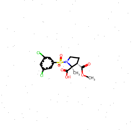 COC(=O)[C@H]1CCN(S(=O)(=O)c2cc(Cl)cc(Cl)c2)[C@]1(C)C(=O)O